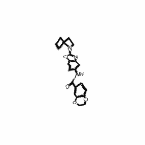 O=C(Nc1ccc2oc(N3CCC34CCC4)nc2c1)c1ccc2c(c1)OCCO2